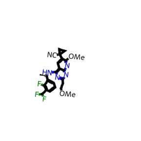 COCCc1nc(N[C@H](C)c2cccc(C(F)F)c2F)c2cc(C3(C#N)CC3)c(OC)nc2n1